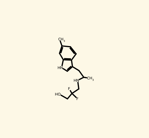 Cc1ccc2c(CC(C)NCC(F)(F)CO)c[nH]c2c1